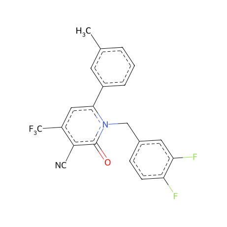 Cc1cccc(-c2cc(C(F)(F)F)c(C#N)c(=O)n2Cc2ccc(F)c(F)c2)c1